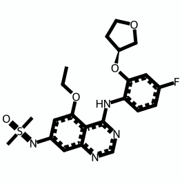 CCOc1cc(N=S(C)(C)=O)cc2ncnc(Nc3ccc(F)cc3O[C@H]3CCOC3)c12